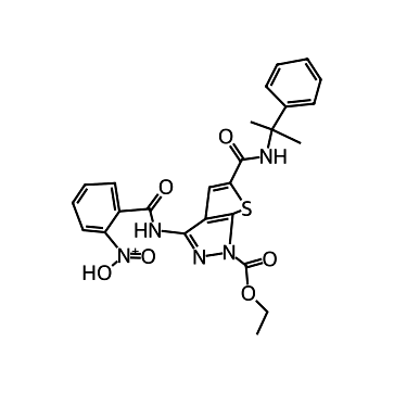 CCOC(=O)n1nc(NC(=O)c2ccccc2[N+](=O)O)c2cc(C(=O)NC(C)(C)c3ccccc3)sc21